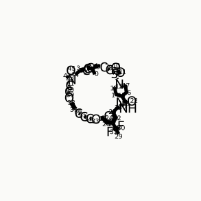 Cc1cc2ccc1CCS(=O)(=O)N1CCC3(CC1)N=C(NC3=O)c1cc(cc(C(C)(F)F)c1)OCCC/C=C\OCCN(C)C2=O